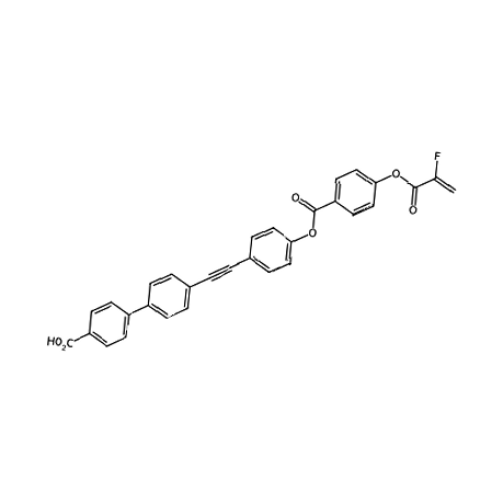 C=C(F)C(=O)Oc1ccc(C(=O)Oc2ccc(C#Cc3ccc(-c4ccc(C(=O)O)cc4)cc3)cc2)cc1